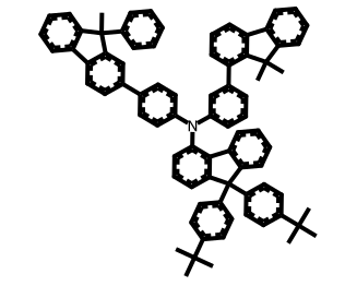 CC(C)(C)c1ccc(C2(c3ccc(C(C)(C)C)cc3)c3ccccc3-c3c(N(c4ccc(-c5ccc6c(c5)C(C)(c5ccccc5)c5ccccc5-6)cc4)c4cccc(-c5cccc6c5C(C)(C)c5ccccc5-6)c4)cccc32)cc1